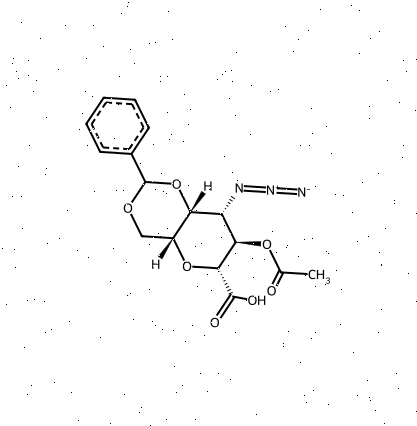 CC(=O)O[C@@H]1[C@@H](N=[N+]=[N-])[C@H]2OC(c3ccccc3)OC[C@H]2O[C@H]1C(=O)O